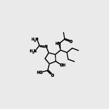 CCC(CC)[C@H](NC(C)=O)C1C(N=C(N)N)CC(C(=O)O)C1O